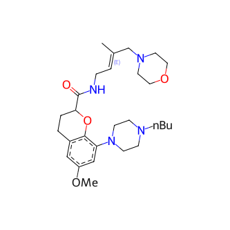 CCCCN1CCN(c2cc(OC)cc3c2OC(C(=O)NC/C=C(\C)CN2CCOCC2)CC3)CC1